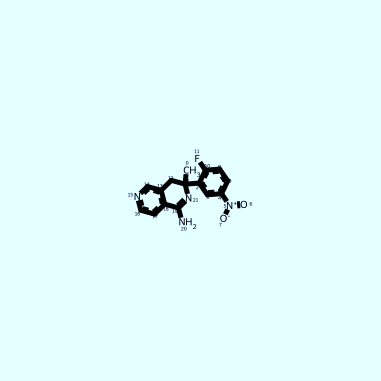 CC1(c2cc([N+](=O)[O-])ccc2F)Cc2cnccc2C(N)=N1